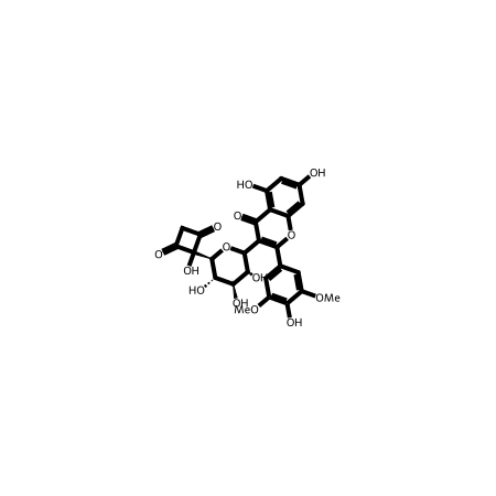 COc1cc(-c2oc3cc(O)cc(O)c3c(=O)c2C2O[C@H](C3(O)C(=O)CC3=O)[C@@H](O)[C@H](O)[C@H]2O)cc(OC)c1O